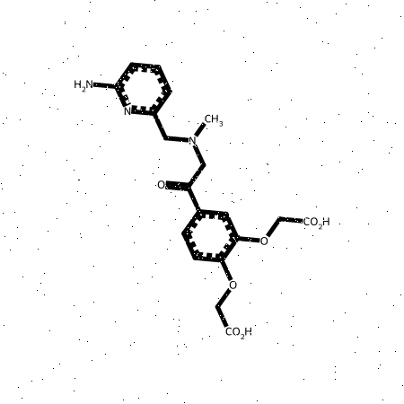 CN(CC(=O)c1ccc(OCC(=O)O)c(OCC(=O)O)c1)Cc1cccc(N)n1